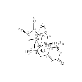 C=C1CC2=CC(=O)C=C(C)[C@]2(C)[C@H]2CC[C@]3(C)C(=O)[C@H](F)C[C@H]3[C@H]12